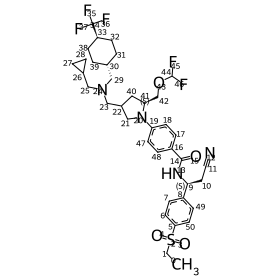 CCS(=O)(=O)c1ccc([C@H](CC#N)NC(=O)c2ccc(N3CC(CN(CC4CC4)C[C@H]4CC[C@H](C(F)(F)F)CC4)C[C@H]3COC(F)F)cc2)cc1